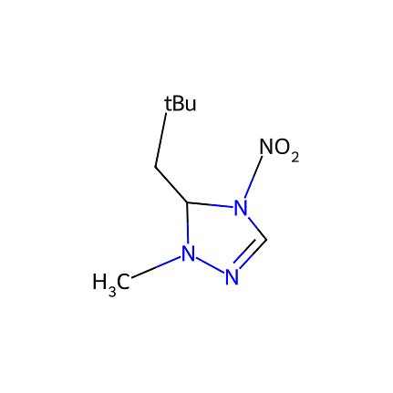 CN1N=CN([N+](=O)[O-])C1CC(C)(C)C